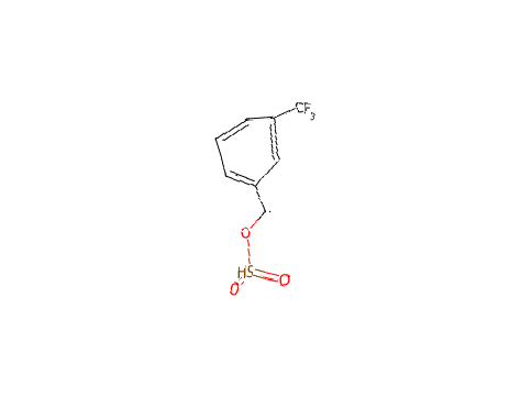 O=[SH](=O)O[CH]c1cccc(C(F)(F)F)c1